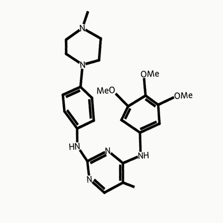 COc1cc(Nc2nc(Nc3ccc(N4CCN(C)CC4)cc3)ncc2C)cc(OC)c1OC